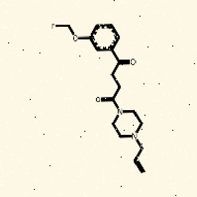 C=CCN1CCN(C(=O)CCC(=O)c2cccc(OCF)c2)CC1